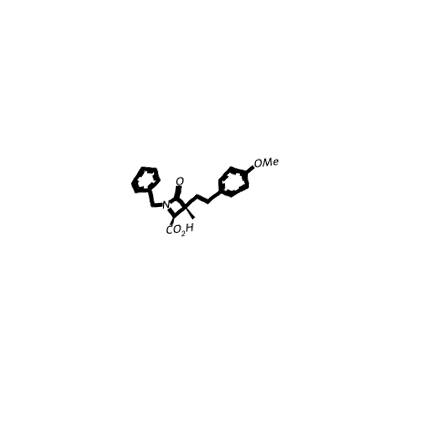 COc1ccc(CC[C@@]2(C)C(=O)N(Cc3ccccc3)[C@@H]2C(=O)O)cc1